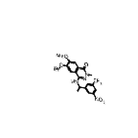 COc1cc2c(=O)n(C)nc(NC(C)c3cc([N+](=O)[O-])cc(C(F)(F)F)c3)c2cc1OC(C)C